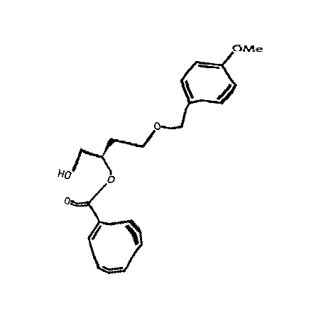 COc1ccc(COCC[C@H](CO)OC(=O)c2ccccc2)cc1